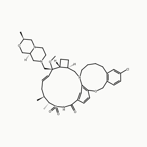 CO[C@@]1(CN2CCN3C[C@H](C)OC[C@@H]3C2)/C=C/C[C@H](C)[C@@H](C)S(=O)(=O)NC(=O)c2ccc3c(c2)N(CCCCc2cc(Cl)ccc2CO3)C[C@@H]2CC[C@H]21